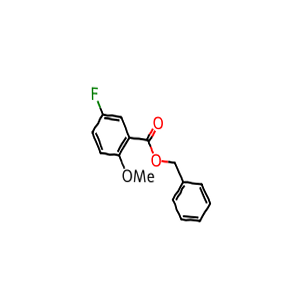 COc1ccc(F)cc1C(=O)OCc1ccccc1